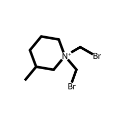 CC1CCC[N+](CBr)(CBr)C1